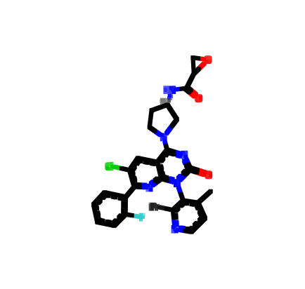 Cc1ccnc(C(C)C)c1-n1c(=O)nc(N2CC[C@H](NC(=O)C3CO3)C2)c2cc(Cl)c(-c3ccccc3F)nc21